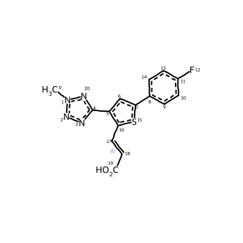 Cn1nnc(-c2cc(-c3ccc(F)cc3)sc2/C=C/C(=O)O)n1